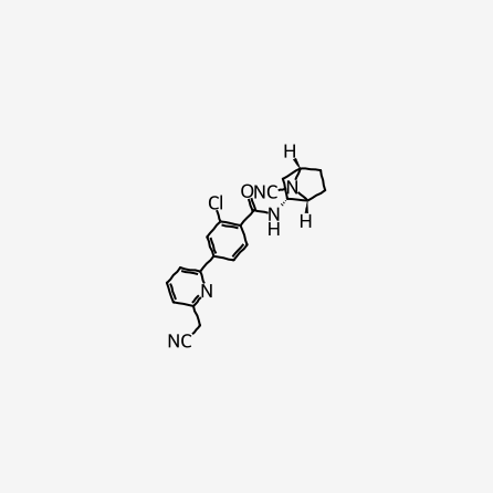 N#CCc1cccc(-c2ccc(C(=O)N[C@@H]3C[C@@H]4CC[C@H]3N4C#N)c(Cl)c2)n1